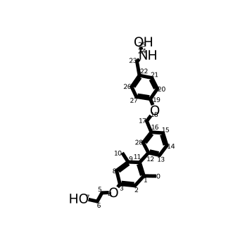 Cc1cc(OCCO)cc(C)c1-c1cccc(COc2ccc(CNO)cc2)c1